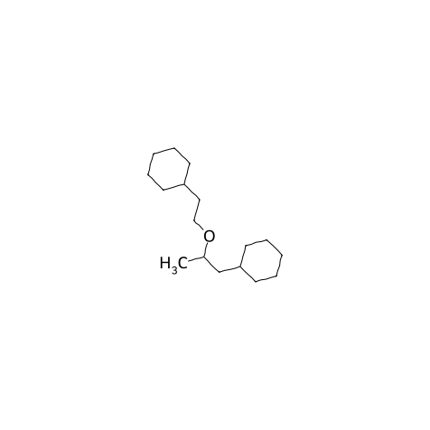 CC(CC1CCCCC1)OCCC1CCCCC1